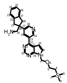 CS(C)(C)CCOCn1ccc2c(-c3cncc(C4(CN)Cc5ccccc5C4)c3)ncnc21